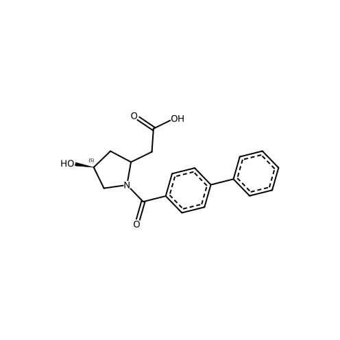 O=C(O)CC1C[C@H](O)CN1C(=O)c1ccc(-c2ccccc2)cc1